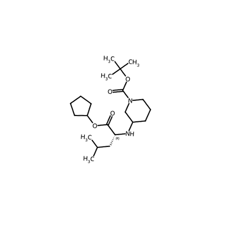 CC(C)C[C@@H](NC1CCCN(C(=O)OC(C)(C)C)C1)C(=O)OC1CCCC1